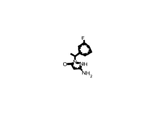 CC(c1cccc(F)c1)n1[nH]c(N)cc1=O